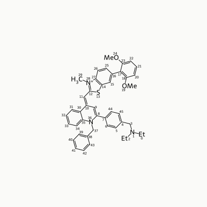 CCN(CC)Cc1ccc(C2=CC(=Cc3sc4cc(-c5c(OC)cccc5OC)ccc4[n+]3C)c3ccccc3N2Cc2ccccc2)cc1